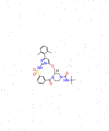 Cc1cccc(C)c1-c1cc2nc(n1)NS(=O)(=O)c1cccc(c1)C(=O)N1CCN(C(=O)NC(C)(C)C)C[C@@H]1CO2